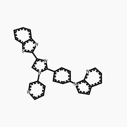 c1cncc(-n2cc(-c3nc4ccccc4s3)nc2-c2ccc(-n3ccc4cccnc43)cc2)c1